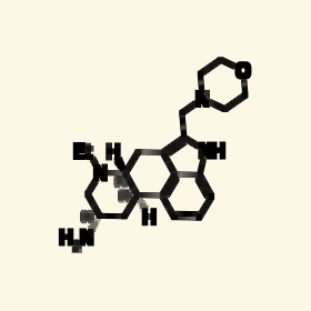 CCN1C[C@@H](N)C[C@@H]2c3cccc4[nH]c(CN5CCOCC5)c(c34)C[C@H]21